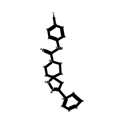 O=C(Nc1ccc(I)cc1)N1CCC2(CC1)CC(c1ccccc1)=NO2